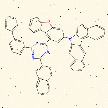 c1ccc(-c2cccc(-c3nc(-c4ccc5ccccc5c4)nc(-c4cc(-n5c6cc7ccccc7cc6c6c7ccccc7ccc65)cc5oc6ccccc6c45)n3)c2)cc1